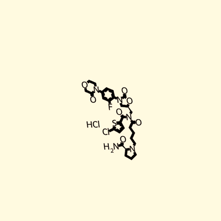 Cl.NC(=O)[C@@H]1CCCN1CCCCC(=O)N(C[C@H]1CN(c2ccc(N3CCOCC3=O)cc2F)C(=O)O1)C(=O)c1ccc(Cl)s1